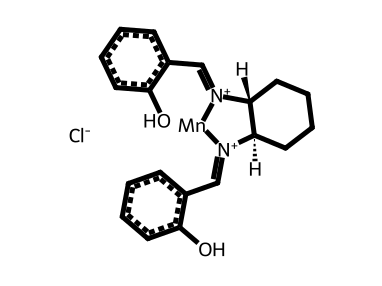 Oc1ccccc1C=[N+]1[Mn][N+](=Cc2ccccc2O)[C@@H]2CCCC[C@H]21.[Cl-]